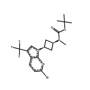 CN(C(=O)OC(C)(C)C)[C@H]1C[C@@H](n2cc(C(F)(F)F)c3ccc(Br)nc32)C1